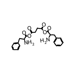 NC(Cc1ccccc1)C(=O)OC(=O)CCC(=O)OC(=O)C(N)Cc1ccccc1